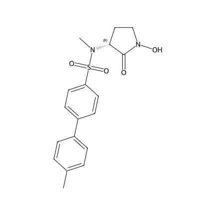 Cc1ccc(-c2ccc(S(=O)(=O)N(C)[C@@H]3CCN(O)C3=O)cc2)cc1